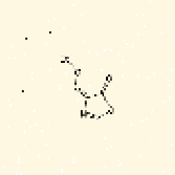 CCOC=C1N=COC1=O